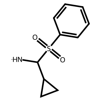 [NH]C(C1CC1)S(=O)(=O)c1ccccc1